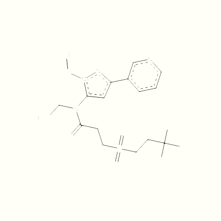 C=C(CCS(=O)(=O)CCC(F)(F)F)N(CC)c1cc(-c2cccnc2)nn1OC